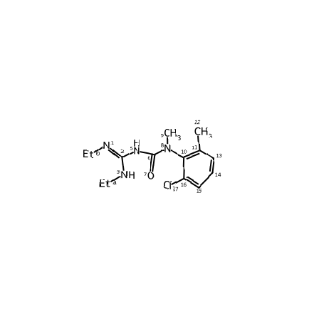 CCN=C(NCC)NC(=O)N(C)c1c(C)cccc1Cl